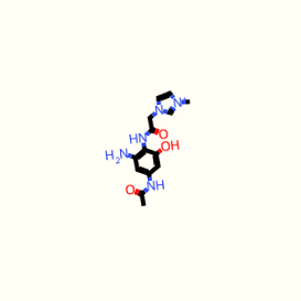 CC(=O)Nc1cc(N)c(NC(=O)Cn2cc[n+](C)c2)c(O)c1